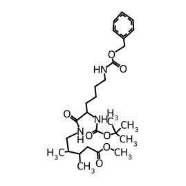 COC(=O)CC(C)C(C)CNC(=O)C(CCCCNC(=O)OCc1ccccc1)NC(=O)OC(C)(C)C